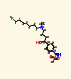 CCN(CCCCCCCF)CCCC(O)c1ccc(NS(C)(=O)=O)cc1